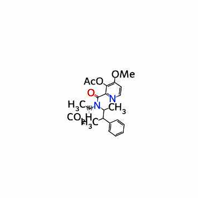 COc1ccnc(C(=O)N(C(C)C(C)c2ccccc2)[C@@H](C)C(=O)O)c1OC(C)=O